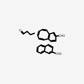 CCCC=O.O=Cc1ccc2c(c1)C=CC=CC=C2.O=Cc1ccc2ccccc2c1